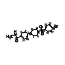 CNC(=O)c1ccc(N2CCN(S(=O)(=O)c3ccc(Br)cc3)CC2)cc1